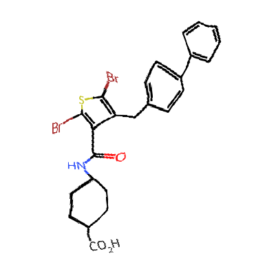 O=C(NC1CCC(C(=O)O)CC1)c1c(Br)sc(Br)c1Cc1ccc(-c2ccccc2)cc1